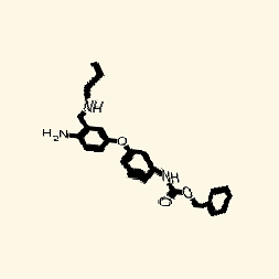 CCCNCc1cc(Oc2cccc(NC(=O)OCc3ccccc3)c2)ccc1N